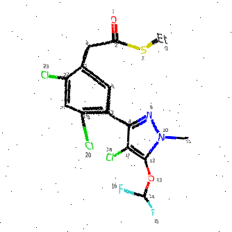 CCSC(=O)Cc1cc(-c2nn(C)c(OC(F)F)c2Cl)c(Cl)cc1Cl